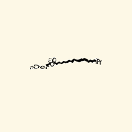 CCCCCCCCCCCC(CC)OC(=O)CCCCCCCCCCCCCCC(C)C